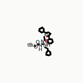 CC(C)(C)OC(=O)N/C(=N/C(=O)Cn1c(-c2ccccc2)ccc1-c1ccccc1)NCCc1ccccc1